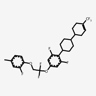 Cc1ccc(OCC(F)(F)Oc2cc(F)c(C3CCC(C4CC=C(C(F)(F)F)CC4)CC3)c(F)c2)c(F)c1